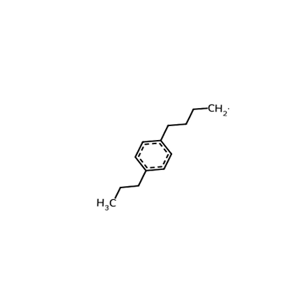 [CH2]CCCc1ccc(CCC)cc1